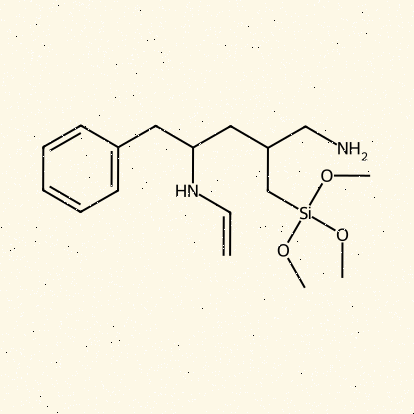 C=CNC(Cc1ccccc1)CC(CN)C[Si](OC)(OC)OC